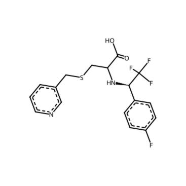 O=C(O)C(CSCc1cccnc1)N[C@H](c1ccc(F)cc1)C(F)(F)F